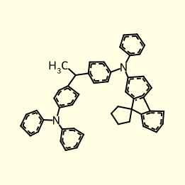 CC(c1ccc(N(c2ccccc2)c2ccccc2)cc1)c1ccc(N(c2ccccc2)c2ccc3c(c2)C2(CCCC2)c2ccccc2-3)cc1